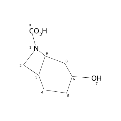 O=C(O)N1CC2CCC(O)CC21